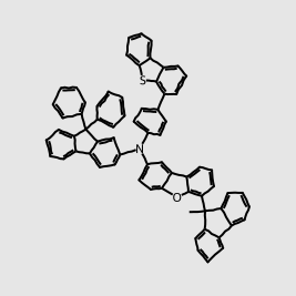 CC1(c2cccc3c2oc2ccc(N(c4ccc(-c5cccc6c5sc5ccccc56)cc4)c4ccc5c(c4)C(c4ccccc4)(c4ccccc4)c4ccccc4-5)cc23)c2ccccc2-c2ccccc21